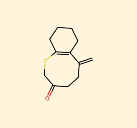 C=C1CCC(=O)CSC2=C1CCCC2